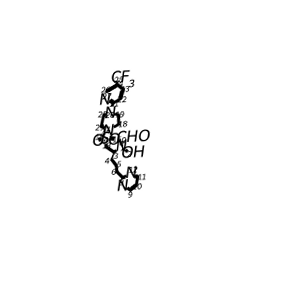 O=CN(O)[C@@H](CCCc1ncccn1)CS(=O)(=O)N1CCN(c2ccc(C(F)(F)F)cn2)CC1